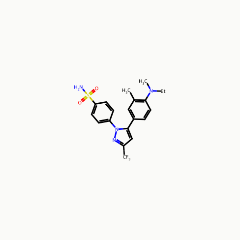 CCN(C)c1ccc(-c2cc(C(F)(F)F)nn2-c2ccc(S(N)(=O)=O)cc2)cc1C